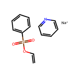 C=COS(=O)(=O)c1ccccc1.[Na+].c1ccncc1